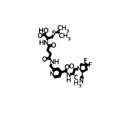 CC(C)SCC(NC(=O)CCC(=O)NCc1cc(C(=O)N[C@H](C)C(=O)N2CC(F)(F)C[C@H]2C#N)ccn1)C(=O)O